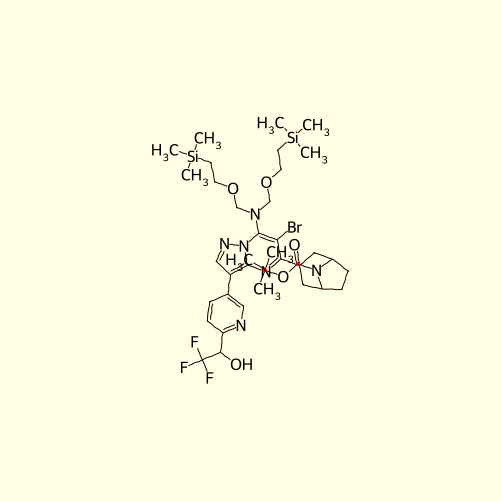 CC(C)(C)OC(=O)N1C2CCC1CC(c1nc3c(-c4ccc(C(O)C(F)(F)F)nc4)cnn3c(N(COCC[Si](C)(C)C)COCC[Si](C)(C)C)c1Br)C2